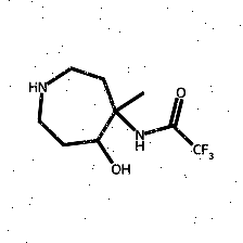 CC1(NC(=O)C(F)(F)F)CCNCCC1O